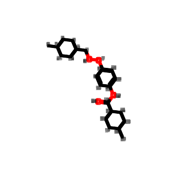 CC1CCC(COOc2ccc(OC(=O)C3CCC(C)CC3)cc2)CC1